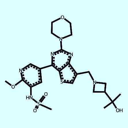 COc1ncc(-c2nc(N3CCOCC3)nc3c(CN4CC(C(C)(C)O)C4)csc23)cc1NS(C)(=O)=O